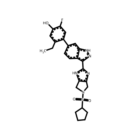 CCc1cc(O)c(F)cc1-c1ccc2c(-c3nc4c([nH]3)CN(S(=O)(=O)C3CCCC3)C4)n[nH]c2c1